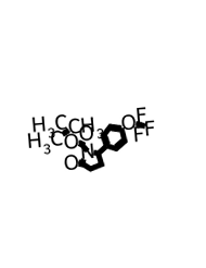 CC(C)(C)OC(=O)N1C(=O)CCC1c1ccc(OC(F)(F)F)cc1